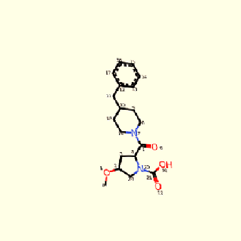 COC1CC(C(=O)N2CCC(Cc3ccccc3)CC2)N(C(=O)O)C1